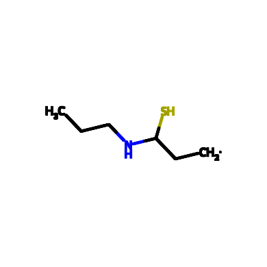 [CH2]CC(S)NCCC